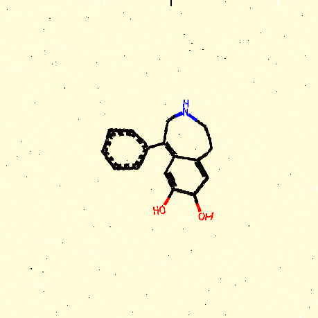 OC1=CC2=C(c3ccccc3)CNCCC2=CC1O